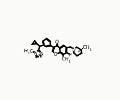 Cc1c(F)c(CN2CCC[C@H](C)C2)cc2c(=O)c(-c3cccc(C(c4nncn4C)C4CC4)c3)coc12